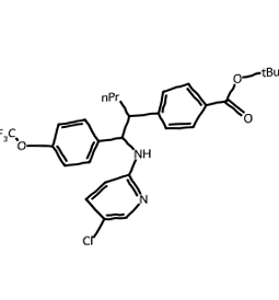 CCCC(c1ccc(C(=O)OC(C)(C)C)cc1)C(Nc1ccc(Cl)cn1)c1ccc(OC(F)(F)F)cc1